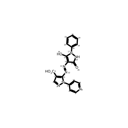 O=C(O)c1cnn(-c2ccncc2)c1N=Nc1c(O)n(-c2ccccc2)[nH]c1=O